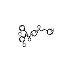 O=C(CCc1cccnc1)N1CCN(C(=O)N2Cc3ccccc3Oc3ccc(Cl)cc32)CC1